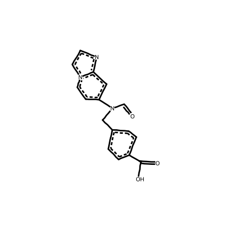 O=CN(Cc1ccc(C(=O)O)cc1)c1ccn2ccnc2c1